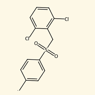 [CH2]c1ccc(S(=O)(=O)Cc2c(Cl)cccc2Cl)cc1